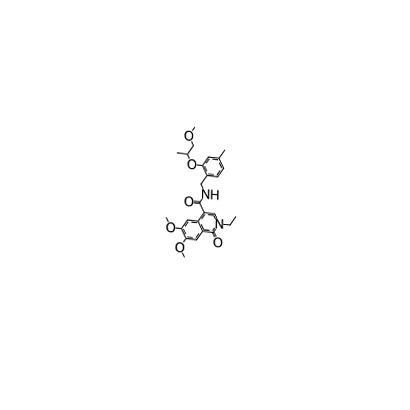 CCn1cc(C(=O)NCc2ccc(C)cc2OC(C)COC)c2cc(OC)c(OC)cc2c1=O